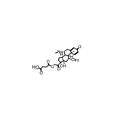 C[C@]12C=CC(=O)C=C1CC[C@@H]1C3CC[C@](O)(C(=O)COC(=O)CCC(=O)O)[C@@]3(C)CC(O)[C@H]12.[CH3][Na]